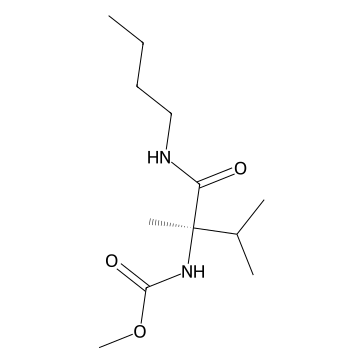 CCCCNC(=O)[C@](C)(NC(=O)OC)C(C)C